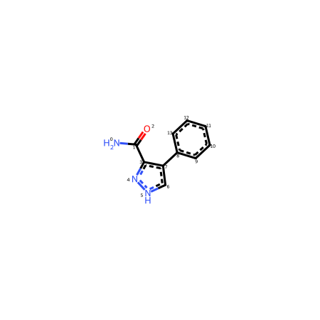 NC(=O)c1n[nH]cc1-c1ccccc1